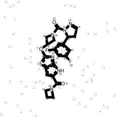 O=C(c1cc2sc(OC3CN(C(=O)N4N=CCC4c4cc(F)cc(F)c4)C3)nc2[nH]1)N1CCC1